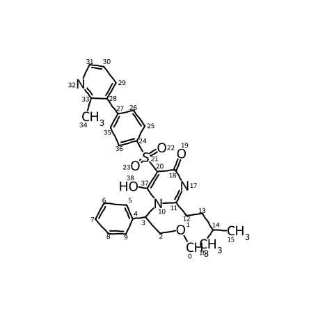 COCC(c1ccccc1)n1c(CCC(C)C)nc(=O)c(S(=O)(=O)c2ccc(-c3cccnc3C)cc2)c1O